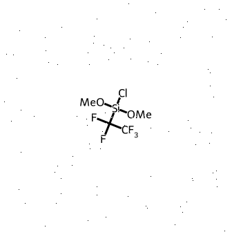 CO[Si](Cl)(OC)C(F)(F)C(F)(F)F